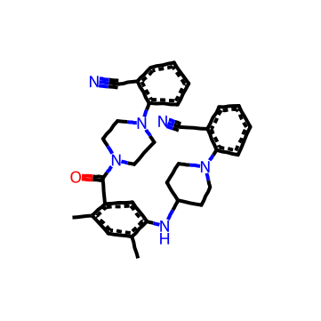 Cc1cc(C)c(C(=O)N2CCN(c3ccccc3C#N)CC2)cc1NC1CCN(c2ccccc2C#N)CC1